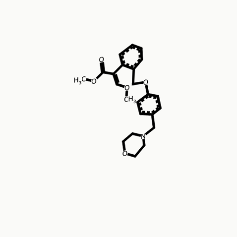 CO/C=C(/C(=O)OC)c1ccccc1COc1ccc(CN2CCOCC2)cc1